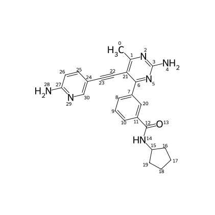 Cc1nc(N)nc(-c2cccc(C(=O)NC3CCCC3)c2)c1C#Cc1ccc(N)nc1